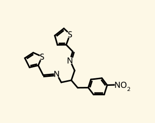 O=[N+]([O-])c1ccc(CC(CN=Cc2cccs2)CN=Cc2cccs2)cc1